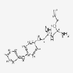 C#CCOC(N)NC(O)COc1ccc(Oc2ccccc2)cc1